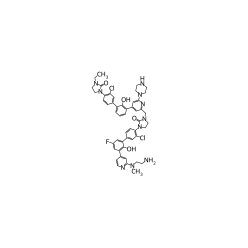 CCN1CCN(c2ccc(-c3cccc(-c4cc(CN5CCN(c6ccc(-c7cc(F)cc(-c8ccnc(N(C)CCN)c8)c7O)cc6Cl)C5=O)nc(N5CCNCC5)c4)c3O)cc2Cl)C1=O